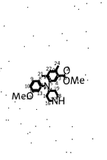 COC(=O)c1cc(N(c2cccc(OC)c2)C2CCNCC2)c(C)cc1C